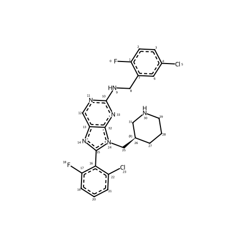 Fc1ccc(Cl)cc1CNc1ncc2nc(-c3c(F)cccc3Cl)n(C[C@@H]3CCCNC3)c2n1